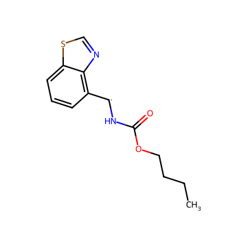 CCCCOC(=O)N[CH]c1cccc2scnc12